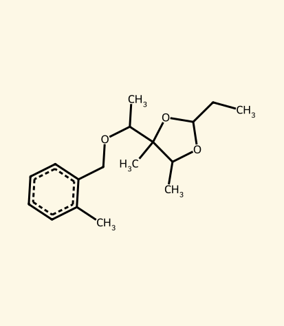 CCC1OC(C)C(C)(C(C)OCc2ccccc2C)O1